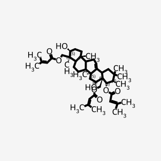 CC(C)=CC(=O)OC[C@@]12C(CC(C)(C)[C@@H](C)[C@@H]1OC(=O)C=C(C)C)C1=CCC3C(CCC4[C@]3(C)CC[C@H](O)[C@]4(C)COC(=O)C=C(C)C)[C@]1(C)C[C@H]2O